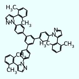 Cc1cccc(C)c1-c1ccnn1C1=CC=C(c2cc(-c3ccc(-n4nccc4-c4c(C)cccc4C)cc3)cc(-c3ccc(-n4nccc4-c4c(C)cccc4C)cc3)c2)CC1